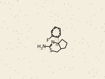 NC1=N[C@@]2(c3ccccc3F)CCCC2CS1